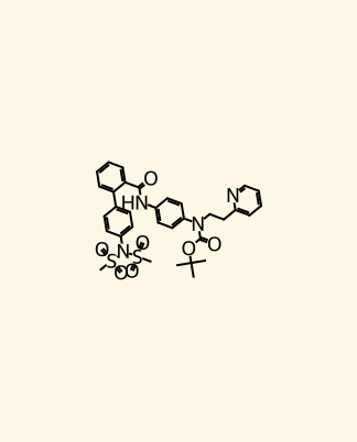 CC(C)(C)OC(=O)N(CCc1ccccn1)c1ccc(NC(=O)c2ccccc2-c2ccc(N(S(C)(=O)=O)S(C)(=O)=O)cc2)cc1